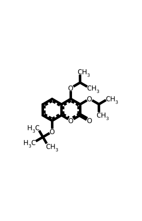 CC(C)Oc1c(OC(C)C)c2cccc(OC(C)(C)C)c2oc1=O